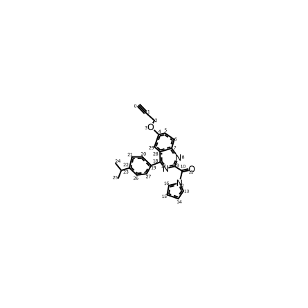 C#CCOc1ccc2nc(C(=O)n3cccc3)nc(-c3ccc(C(C)C)cc3)c2c1